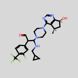 C[C@@H]1C[C@H](O)c2ncnc(N3CCN(C(NCC4CC4)C(C=O)c4ccc(C(F)(F)F)c(F)c4)CC3)c21